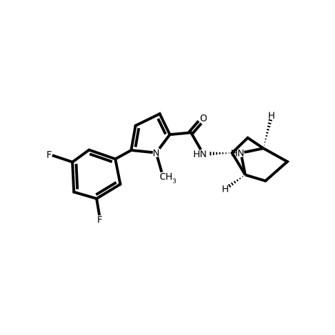 Cn1c(C(=O)N[C@@H]2C[C@H]3CC[C@@H]2N3)ccc1-c1cc(F)cc(F)c1